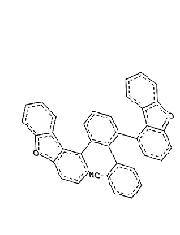 N#Cc1ccccc1-c1c(-c2cccc3oc4ccccc4c23)cccc1-c1cccc2oc3ccccc3c12